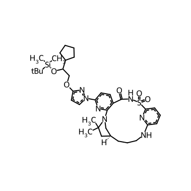 CC1(C)C[C@@H]2CCCNc3cccc(n3)S(=O)(=O)NC(=O)c3ccc(-n4ccc(OCC(O[Si](C)(C)C(C)(C)C)C5CCCC5)n4)nc3N1C2